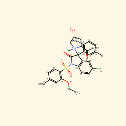 CNC(=O)[C@@H]1C[C@@H](O)C[N+]1(C)C1(c2cc(C)ccc2OC)C(=O)N(S(=O)(=O)c2ccc(OC)cc2OCC(F)(F)F)c2ccc(Cl)cc21